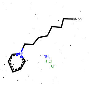 CCCCCCCCCCCCCCCC[n+]1ccccc1.Cl.N.[Cl-]